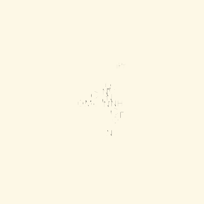 COc1cccc(CN(C(=O)OCCCCCC(C)C)c2ccnc(Nc3ccc(OCCCN4CCCCC4)c(F)c3)n2)c1